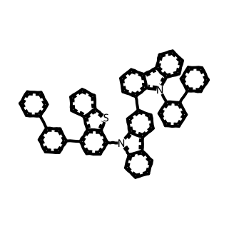 c1ccc(-c2cccc(-c3ccc(-n4c5ccccc5c5ccc(-c6cccc7c8ccccc8n(-c8ccccc8-c8ccccc8)c67)cc54)c4sc5ccccc5c34)c2)cc1